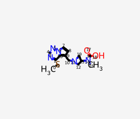 CSc1ncnn2ccc(CN3CC(N(C)C(=O)O)C3)c12